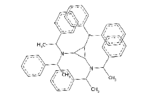 CC(c1ccccc1)N(C(C)c1ccccc1)C1C(N(C(C)c2ccccc2)C(C)c2ccccc2)C1P(c1ccccc1)c1ccccc1